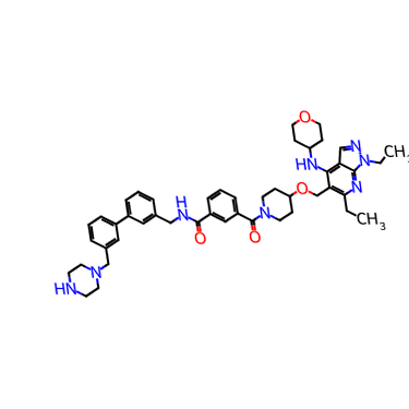 CCc1nc2c(cnn2CC)c(NC2CCOCC2)c1COC1CCN(C(=O)c2cccc(C(=O)NCc3cccc(-c4cccc(CN5CCNCC5)c4)c3)c2)CC1